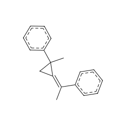 CC(=C1CC1(C)c1ccccc1)c1ccccc1